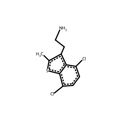 Cc1sc2c(Cl)ccc(Cl)c2c1CCN